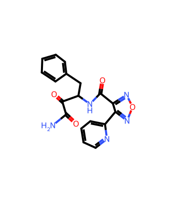 NC(=O)C(=O)C(Cc1ccccc1)NC(=O)c1nonc1-c1ccccn1